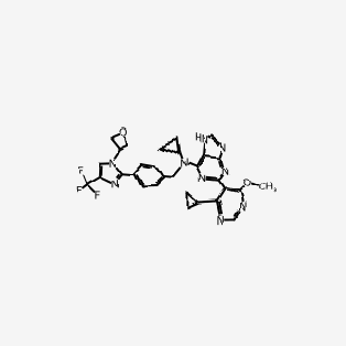 COc1ncnc(C2CC2)c1-c1nc(N(Cc2ccc(-c3nc(C(F)(F)F)cn3C3COC3)cc2)C2CC2)c2[nH]cnc2n1